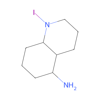 NC1CCCC2C1CCCN2I